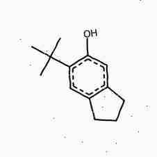 CC(C)(C)c1cc2c(cc1O)CCC2